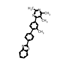 Cc1nc(C)c(C)c(-c2ccc(-c3ccc(-c4nc5ccccc5s4)cc3)c(C)c2)n1